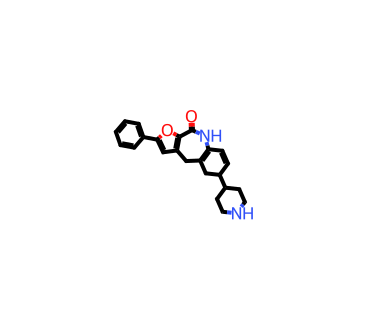 O=C1NC2=C(Cc3cc(-c4ccccc4)oc31)CC(C1CCNCC1)C=C2